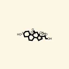 CC12CC[C@@H](O)CC1CCC1C2C(=O)CC2(C)C1CC[C@]2(O)C(=O)CO